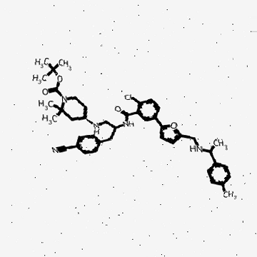 Cc1ccc(C(C)NCc2ccc(-c3ccc(Cl)c(C(=O)NC(CN[C@@H]4CCN(C(=O)OC(C)(C)C)C(C)(C)C4)Cc4ccc(C#N)cc4)c3)o2)cc1